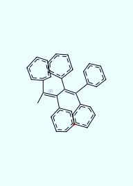 C/C(=C(/C(=C(c1ccccc1)c1ccccc1)c1ccccc1)c1ccccc1)c1ccccc1